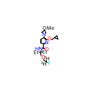 [2H]C([2H])(F)COCC(CC)(CC)NC(=O)c1ccc(N2CC(OC)C2)c(OCC2CC2)n1